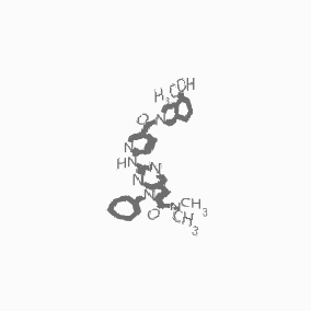 CN(C)C(=O)c1cc2cnc(Nc3ccc(C(=O)N4CC5CCCC(C)(O)C5C4)cn3)nc2n1C1CCCCCC1